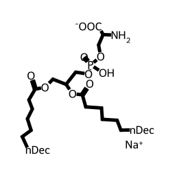 CCCCCCCCCCCCCCCC(=O)OCC(COP(=O)(O)OCC(N)C(=O)[O-])OC(=O)CCCCCCCCCCCCCCC.[Na+]